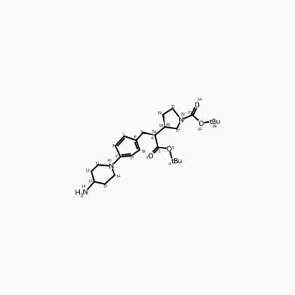 CC(C)(C)OC(=O)[C@@H](Cc1ccc(N2CCC(N)CC2)cc1)[C@H]1CCN(C(=O)OC(C)(C)C)C1